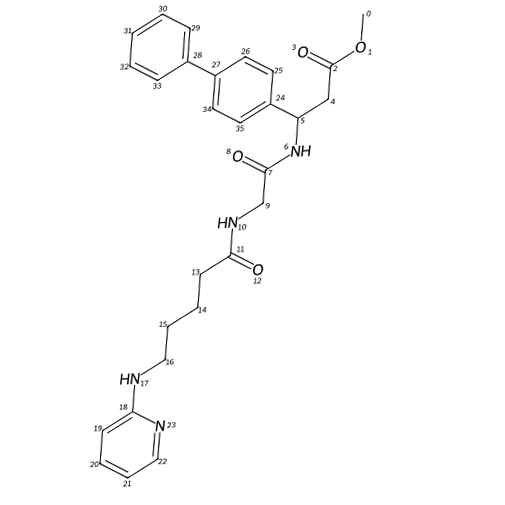 COC(=O)CC(NC(=O)CNC(=O)CCCCNc1ccccn1)c1ccc(-c2ccccc2)cc1